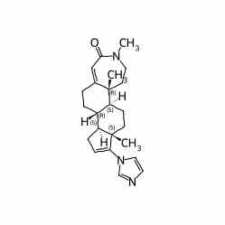 CN1CC[C@@]2(C)C(=CC1=O)CC[C@@H]1[C@@H]2CC[C@]2(C)C(n3ccnc3)=CC[C@@H]12